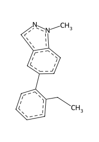 CCc1ccccc1-c1ccc2c(cnn2C)c1